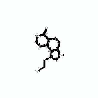 NCCc1c[nH]c2ccc3c(=O)[nH]cnc3c12